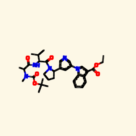 CCOC(=O)c1cn(-c2cncc(C3CCCN3C(=O)C(NC(=O)C(C)N(C)C(=O)OC(C)(C)C)C(C)C)c2)c2ccccc12